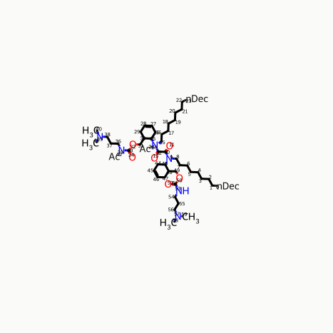 CCCCCCCCCCCCCCCCCCN(C(=O)C(=O)[N+](CCCCCCCCCCCCCCCCCC)(C(C)=O)C1CC=CCC1COC(=O)N(CCCN(C)C)C(C)=O)C1CC=CCC1COC(=O)NCCCN(C)C